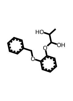 CC(O)C(O)Oc1ccccc1OCc1ccccc1